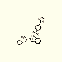 C[C@@H](CC1CCCC1)NCc1ccccc1NS(=O)(=O)c1ccc(-c2nccs2)cc1